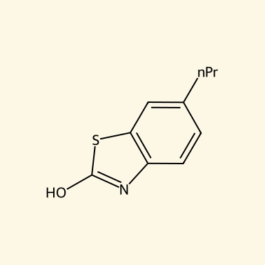 CCCc1ccc2nc(O)sc2c1